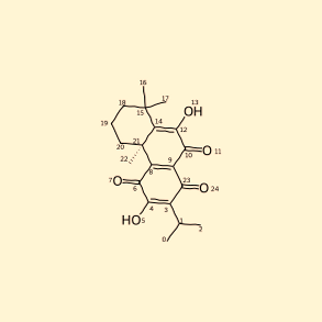 CC(C)C1=C(O)C(=O)C2=C(C(=O)C(O)=C3C(C)(C)CCC[C@]23C)C1=O